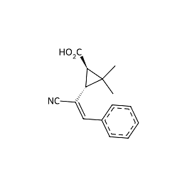 CC1(C)[C@H](C(=O)O)[C@H]1/C(C#N)=C\c1ccccc1